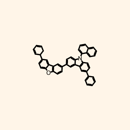 C1=CCC(c2ccc3oc4ccc(-c5ccc6c(c5)c5cc(-c7ccccc7)ccc5n6-c5cccc6ccccc56)cc4c3c2)C=C1